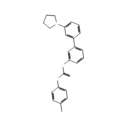 Cc1ccc(NC(=O)Nc2cccc(-c3cccc(N4CCCC4)c3)c2)cc1